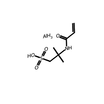 C=CC(=O)NC(C)(C)CS(=O)(=O)O.[AlH3]